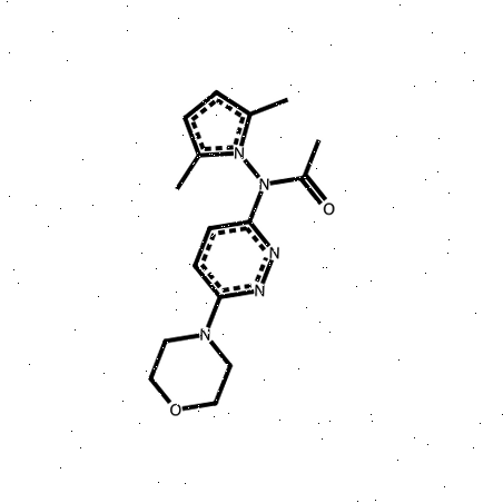 CC(=O)N(c1ccc(N2CCOCC2)nn1)n1c(C)ccc1C